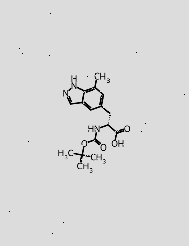 Cc1cc(C[C@@H](NC(=O)OC(C)(C)C)C(=O)O)cc2cn[nH]c12